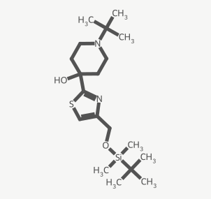 CC(C)(C)N1CCC(O)(c2nc(CO[Si](C)(C)C(C)(C)C)cs2)CC1